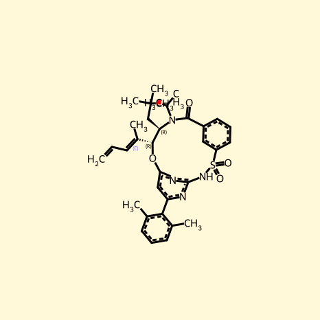 C=C/C=C(\C)[C@H]1Oc2cc(-c3c(C)cccc3C)nc(n2)NS(=O)(=O)c2cccc(c2)C(=O)N(C(C)C)[C@@H]1CC(C)(C)C